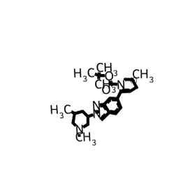 CC1CC(n2cc3ccc(C4=CC[C@H](C)CN4C(=O)OC(C)(C)C)cc3n2)CN(C)C1